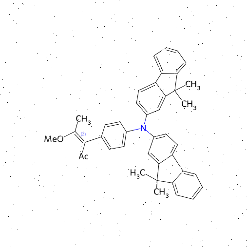 CO/C(C)=C(\C(C)=O)c1ccc(N(c2ccc3c(c2)C(C)(C)c2ccccc2-3)c2ccc3c(c2)C(C)(C)c2ccccc2-3)cc1